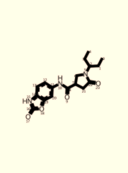 CCC(CC)N1CC(C(=O)Nc2ccc3[nH]c(=O)oc3c2)CC1=O